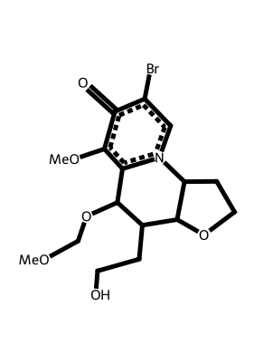 COCOC1c2c(OC)c(=O)c(Br)cn2C2CCOC2C1CCO